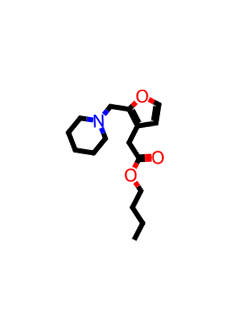 CCCCOC(=O)Cc1ccoc1CN1CCCCC1